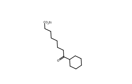 CCOC(=O)CCCCCCC(=O)C1CCCCC1